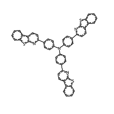 c1ccc2c(c1)sc1nc(-c3ccc(N(c4ccc(-c5ccc6c(n5)sc5ccccc56)cc4)c4ccc(-c5ccc6c(n5)sc5ccccc56)cc4)cc3)ccc12